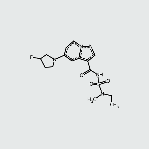 CCN(C)S(=O)(=O)NC(=O)c1cnn2ccc(N3CCC(F)C3)cc12